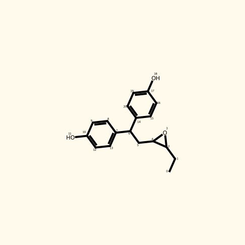 CCC1OC1CC(c1ccc(O)cc1)c1ccc(O)cc1